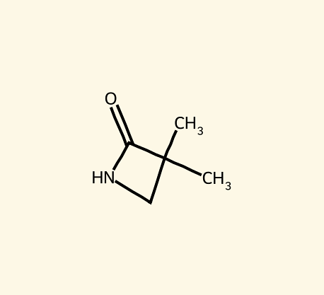 CC1(C)CNC1=O